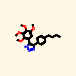 CCCCc1ccc(-c2nn[nH]c2-c2cc(OC)c(OC)c(OC)c2OC)cc1